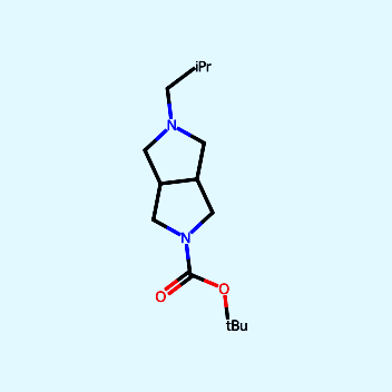 CC(C)CN1CC2CN(C(=O)OC(C)(C)C)CC2C1